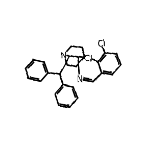 Clc1cccc(/C=N\C2C3CCN(CC3)C2C(c2ccccc2)c2ccccc2)c1Cl